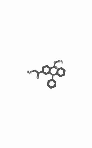 CCC(=O)c1ccc(C(=O)OC)c(P(c2ccccc2)c2ccccc2)c1